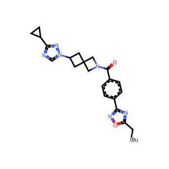 CC(C)(C)Cc1nc(-c2ccc(C(=O)N3CC4(CC(n5cnc(C6CC6)n5)C4)C3)cc2)no1